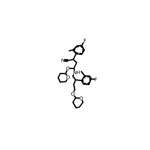 Cc1cc(F)ccc1C(C#N)CC(NCC(CCOC1CCCCO1)c1ccc(F)cc1C)OC1CCCCO1